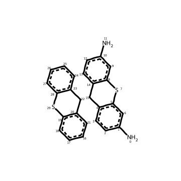 Nc1ccc2c(c1)Sc1cc(N)ccc1C2.c1ccc2c(c1)Cc1ccccc1S2